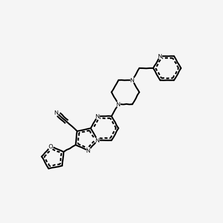 N#Cc1c(-c2ccco2)nn2ccc(N3CCN(Cc4ccccn4)CC3)nc12